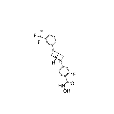 O=C(NO)c1ccc(N2CC3[C@H]2CN3c2cccc(C(F)(F)F)c2)cc1F